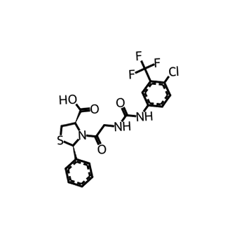 O=C(NCC(=O)N1[C@@H](c2ccccc2)SC[C@H]1C(=O)O)Nc1ccc(Cl)c(C(F)(F)F)c1